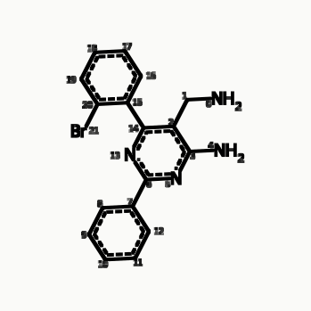 NCc1c(N)nc(-c2ccccc2)nc1-c1ccccc1Br